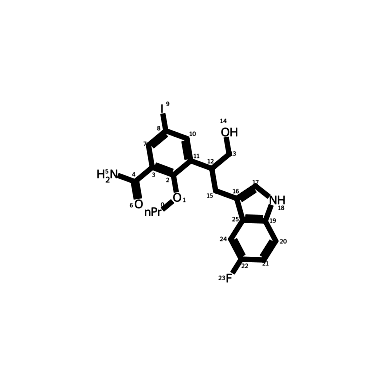 CCCOc1c(C(N)=O)cc(I)cc1C(CO)Cc1c[nH]c2ccc(F)cc12